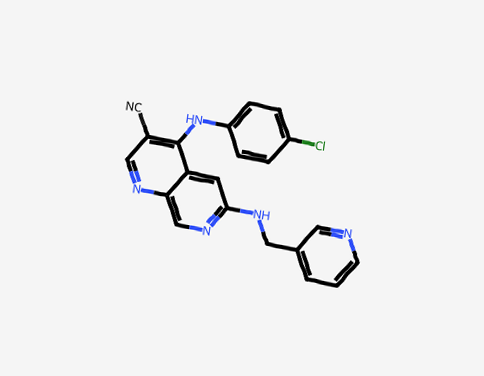 N#Cc1cnc2cnc(NCc3cccnc3)cc2c1Nc1ccc(Cl)cc1